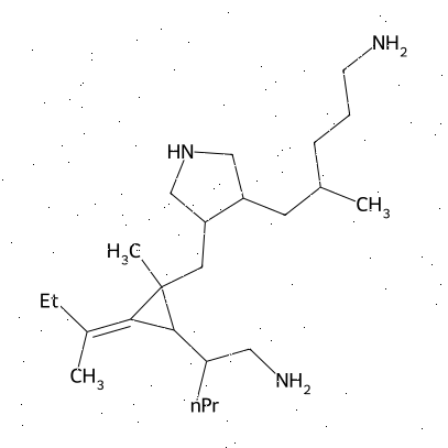 CCCC(CN)C1/C(=C(\C)CC)C1(C)CC1CNCC1CC(C)CCCN